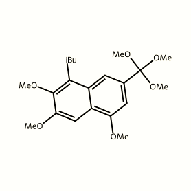 CCC(C)c1c(OC)c(OC)cc2c(OC)cc(C(OC)(OC)OC)cc12